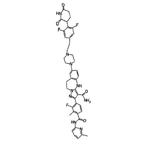 Cc1cccc(NC(=O)c2ccc(-c3nn4c(c3C(N)=O)Nc3ccc(N5CCN(CCc6cc(F)c(C7CCC(=O)NC7=O)c(F)c6)CC5)cc3CC4)c(F)c2C)n1